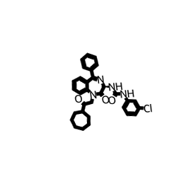 O=C(Nc1cccc(Cl)c1)N[C@@H]1N=C(c2ccccc2)c2ccccc2N(CC(=O)C2CCCCCC2)C1=O